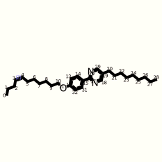 CCC/C=C\CCCCCCOc1ccc(-c2ncc(CCCCCCCCC)cn2)cc1